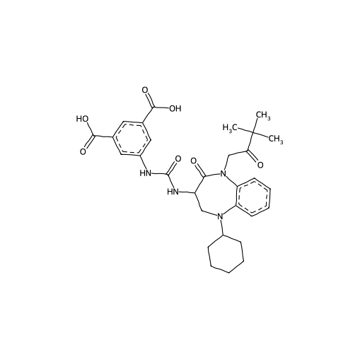 CC(C)(C)C(=O)CN1C(=O)C(NC(=O)Nc2cc(C(=O)O)cc(C(=O)O)c2)CN(C2CCCCC2)c2ccccc21